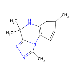 Cc1ccc2c(c1)NC(C)(C)c1nnc(C)n1-2